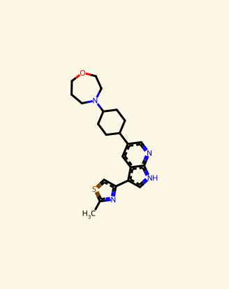 Cc1nc(-c2c[nH]c3ncc(C4CCC(N5CCCOCC5)CC4)cc23)cs1